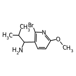 COc1ccc(C(N)C(C)C)c(Br)n1